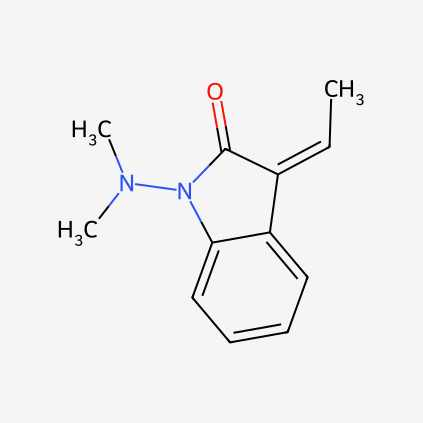 CC=C1C(=O)N(N(C)C)c2ccccc21